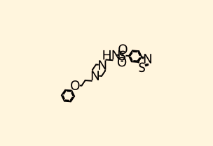 O=S(=O)(NCCN1CCN(CCCOc2ccccc2)CC1)c1ccc2ncsc2c1